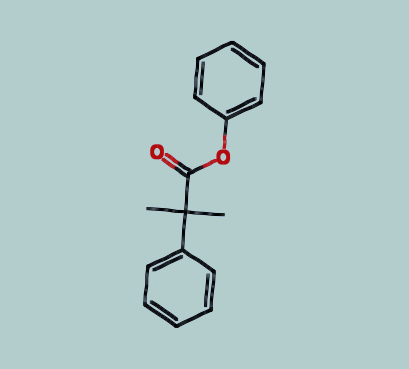 CC(C)(C(=O)Oc1ccccc1)c1ccccc1